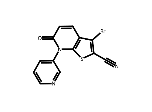 N#Cc1sc2c(ccc(=O)n2-c2cccnc2)c1Br